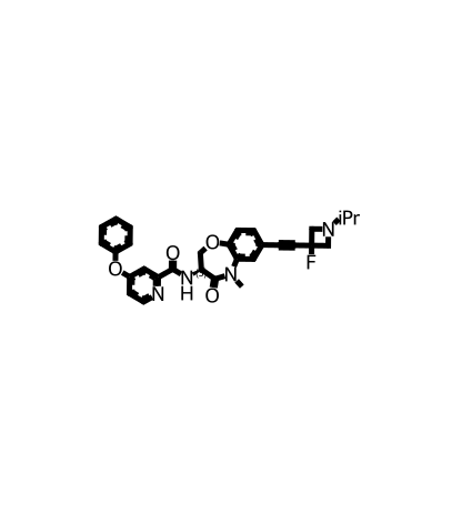 CC(C)N1CC(F)(C#Cc2ccc3c(c2)N(C)C(=O)[C@@H](NC(=O)c2cc(Oc4ccccc4)ccn2)CO3)C1